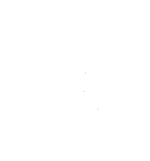 CCCCCCCSC1CCC1